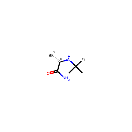 CC[C@@H](C)[C@@H](NC(C)(C)CC)C(N)=O